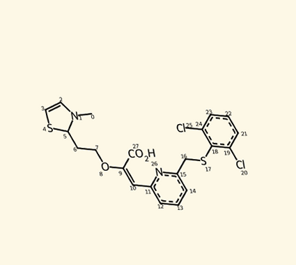 CN1C=CSC1CCO/C(=C/c1cccc(CSc2c(Cl)cccc2Cl)n1)C(=O)O